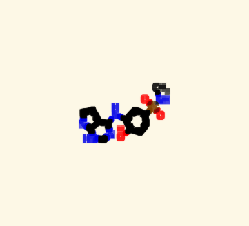 CNS(=O)(=O)c1ccc(O)c(Nc2nc[nH]c3nccc2-3)c1